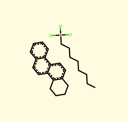 CCCCCCCC[Si](Cl)(Cl)Cl.c1ccc2c(c1)ccc1c3c(ccc12)CCCC3